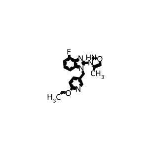 CCOc1ccc(Cn2c(N3NOC=C3C)nc3c(F)cccc32)cn1